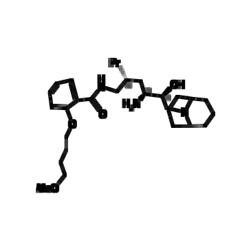 COCCCCOc1ccccc1C(=O)NC[C@@H](C[C@H](N)[C@@H](O)CN1C2CCCC1CCC2)C(C)C